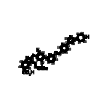 COCCn1c(Cc2cc(F)c(-c3cccc(OCc4ccc(-c5cnn(C6CCNCC6)c5)nc4)n3)cc2F)nc2ccc(C(=O)O)cc21